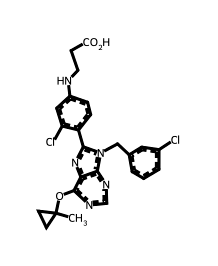 CC1(Oc2ncnc3c2nc(-c2ccc(NCCC(=O)O)cc2Cl)n3Cc2cccc(Cl)c2)CC1